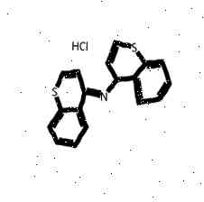 C1=CC(N=c2ccsc3ccccc23)c2ccccc2S1.Cl